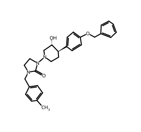 Cc1ccc(CN2CCN(N3CC[C@H](c4ccc(OCc5ccccc5)cc4)[C@@H](O)C3)C2=O)cc1